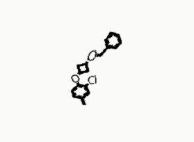 Cc1ccc(OC2CC(OCc3ccccc3)C2)c(Cl)c1